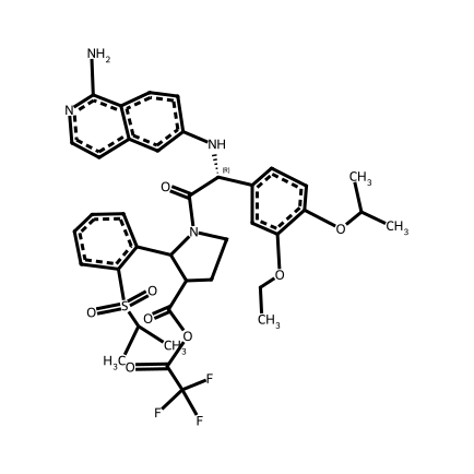 CCOc1cc([C@@H](Nc2ccc3c(N)nccc3c2)C(=O)N2CCC(C(=O)OC(=O)C(F)(F)F)C2c2ccccc2S(=O)(=O)C(C)C)ccc1OC(C)C